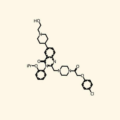 CC(C)Oc1ccccc1-n1c(CN2CCN(C(=O)COc3ccc(Cl)cc3)CC2)nc2ccc(C3CCN(CCO)CC3)cc2c1=O